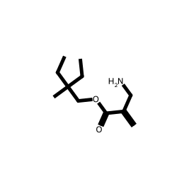 C=C(CN)C(=O)OCC(C)(CC)CC